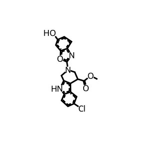 COC(=O)C1CN(c2nc3ccc(O)cc3o2)Cc2[nH]c3ccc(Cl)cc3c21